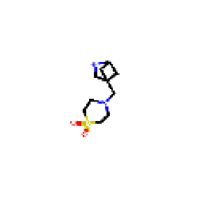 O=S1(=O)CCN(CC23CNC(C2)C3)CC1